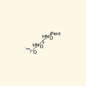 CC=CC(C)C(=O)CCNC(=O)CSCCNC(=O)C(C)CCC